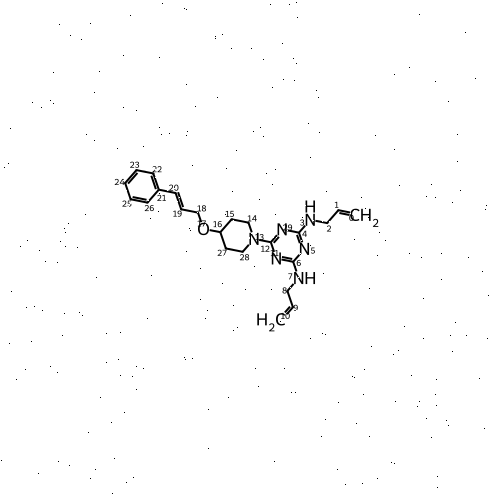 C=CCNc1nc(NCC=C)nc(N2CCC(OCC=Cc3ccccc3)CC2)n1